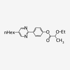 CCCCCCc1cnc(-c2ccc(OC(=O)C(C)OCC)cc2)nc1